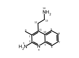 Cc1c(N)nc2ccccc2c1CCN